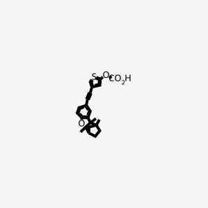 CC12CCC(C1)C1(C)Oc3ccc(C#Cc4csc(OC(=O)O)c4)cc3C21C